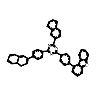 C1=CC2=CC(c3ccc(-c4nc(-c5ccc(-c6cccc7oc8ccccc8c67)cc5)nc(-c5ccc6ccccc6c5)n4)cc3)=CCC2C=C1